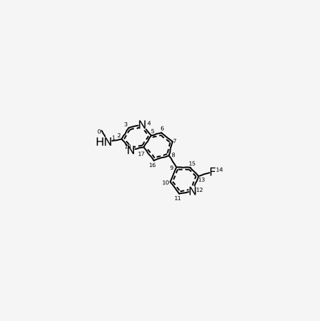 CNc1cnc2ccc(-c3ccnc(F)c3)cc2n1